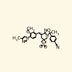 COc1cc(/C=C2\CC3(CN4C2=NOC4(C)c2ccc(C#N)cc2)CS(=O)(=O)C3)ccc1-n1cnc(C)c1